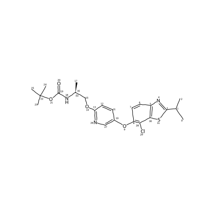 CC(C)c1nc2ccc(Oc3ccc(OC[C@H](C)NC(=O)OC(C)(C)C)nc3)c(Cl)c2s1